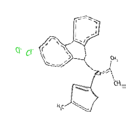 CC1=CC[C]([Zr+2](=[C](C)C)[CH]2c3ccccc3-c3ccccc32)=C1.[Cl-].[Cl-]